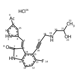 CC(=O)c1c[nH]c(C=C2C(=O)Nc3ccc(F)c(C#CCNCC(C)O)c32)c1.Cl